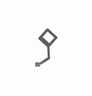 CCCC1=CCC1